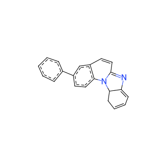 C1=CCC2C(=C1)N=C1C=Cc3cc(-c4ccccc4)ccc3N12